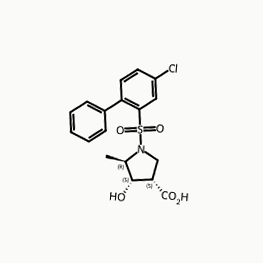 C[C@@H]1[C@@H](O)[C@@H](C(=O)O)CN1S(=O)(=O)c1cc(Cl)ccc1-c1ccccc1